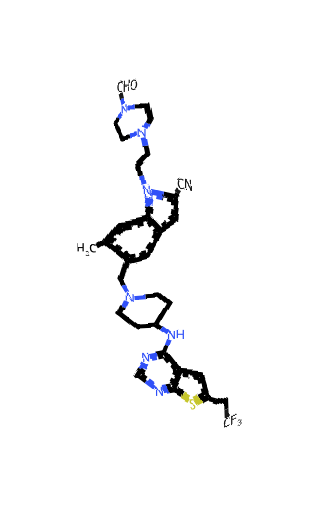 Cc1cc2c(cc1CN1CCC(Nc3ncnc4sc(CC(F)(F)F)cc34)CC1)cc(C#N)n2CCN1CCN(C=O)CC1